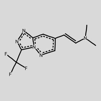 CN(C)C=Cc1cnn2c(C(F)(F)F)nnc2c1